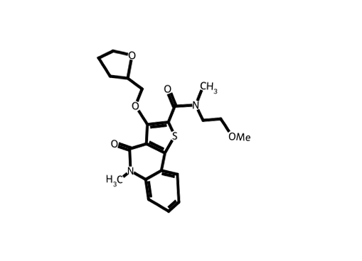 COCCN(C)C(=O)c1sc2c(c1OCC1CCCO1)c(=O)n(C)c1ccccc21